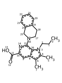 CCCn1c(C)c(C)c2cc(C(=O)O)nc(N3CCc4ccccc4C3)c21